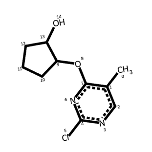 Cc1cnc(Cl)nc1OC1CCCC1O